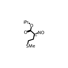 CSCC[C@H](N=O)C(=O)OC(C)C